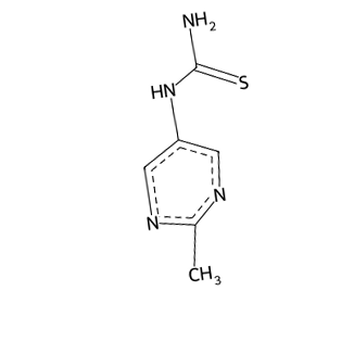 Cc1ncc(NC(N)=S)cn1